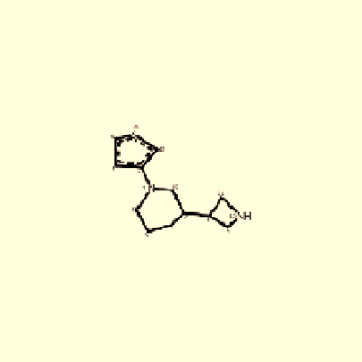 c1cc(N2CCCC(C3CNC3)C2)cs1